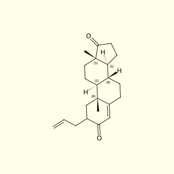 C=CCC1C[C@@]2(C)C(=CC1=O)CC[C@@H]1[C@@H]2CC[C@]2(C)C(=O)CC[C@@H]12